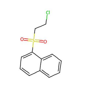 O=S(=O)(CCCl)c1cccc2ccccc12